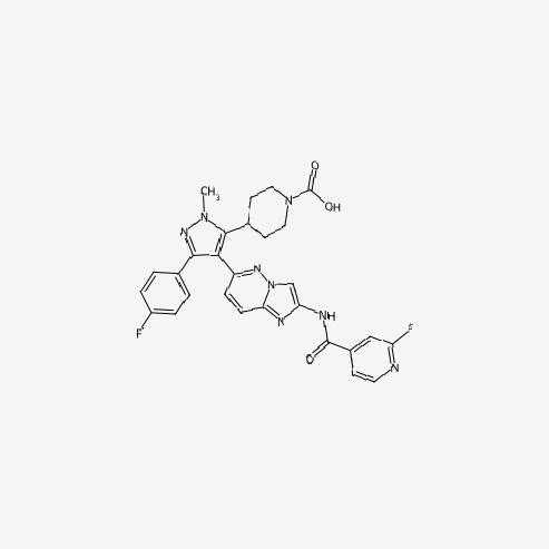 Cn1nc(-c2ccc(F)cc2)c(-c2ccc3nc(NC(=O)c4ccnc(F)c4)cn3n2)c1C1CCN(C(=O)O)CC1